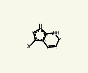 Brc1c[nH]c2c1C=CCN2